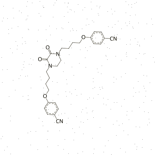 N#Cc1ccc(OCCCCN2CCN(CCCCOc3ccc(C#N)cc3)C(=O)C2=O)cc1